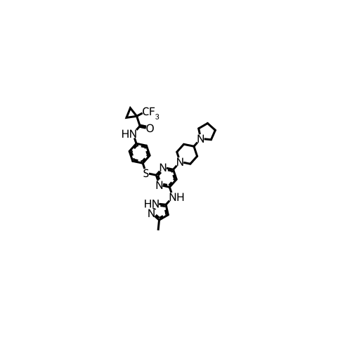 Cc1cc(Nc2cc(N3CCC(N4CCCC4)CC3)nc(Sc3ccc(NC(=O)C4(C(F)(F)F)CC4)cc3)n2)[nH]n1